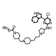 CC(C)(C)OC(=O)N1CCC(CN2CCC(CCCN3CCC(Nc4ncc(Cl)c(-c5c[nH]c6ccccc56)n4)C3)CC2)CC1